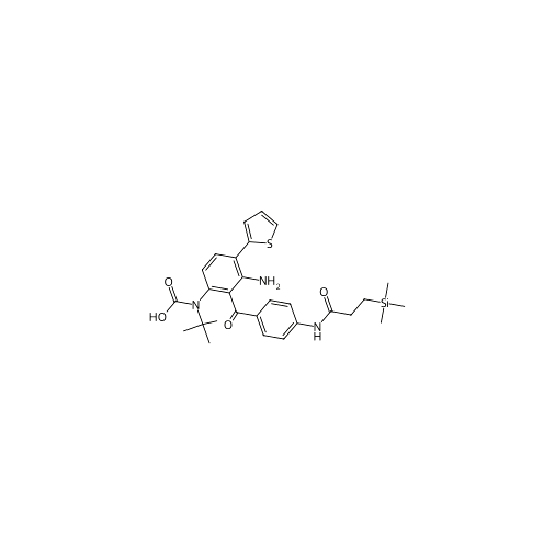 CC(C)(C)N(C(=O)O)c1ccc(-c2cccs2)c(N)c1C(=O)c1ccc(NC(=O)CC[Si](C)(C)C)cc1